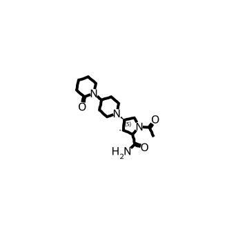 CC(=O)N1C[C@@H](N2CCC(N3CCCCC3=O)CC2)[CH]C1C(N)=O